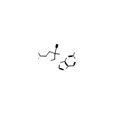 C#CC1(F)[C@@H](O)[C@@H]([C@@H](C)O)O[C@H]1n1cnc2cnc(N)nc21